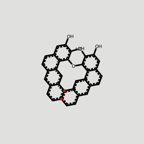 Oc1cc2ccc3cc4ccccc4cc3c2c(Oc2c(O)c(O)cc3ccc4cc5ccccc5cc4c23)c1O